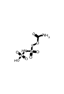 NC(=O)OSS(=O)(=O)NS(=O)(=O)O